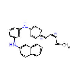 C=C/C=C\C=C1\C=CC(Nc2cccc(Nc3ccc4ccccc4c3)c2)=CC1